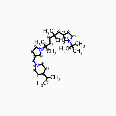 CC(C)C1CCN(CC2CCN(C(C)(C)CCC(C)(C)CC3CCN(C(C)(C)C)C3)C2)CC1